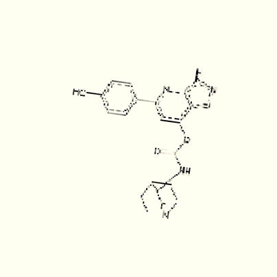 O=C(NC1CN2CCC1CC2)Oc1cc(-c2ccc(O)cc2)nc2[nH]ncc12